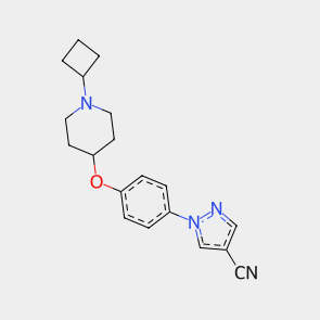 N#Cc1cnn(-c2ccc(OC3CCN(C4CCC4)CC3)cc2)c1